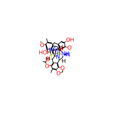 COc1cc2c(cc1O)CCN[C@]21CS[C@@H]2c3c(OC(C)=O)c(C)c4c(c3[C@H](CNC1=O)N1[C@@H]2[C@H]2c3c(cc(C)c(OC)c3O)C[C@H]([C@@H]1C#N)N2C)OCO4